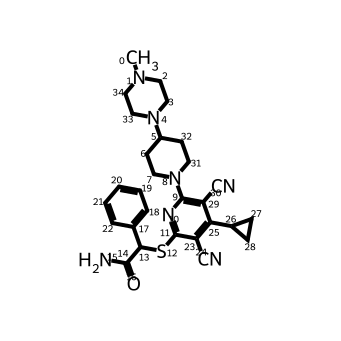 CN1CCN(C2CCN(c3nc(SC(C(N)=O)c4ccccc4)c(C#N)c(C4CC4)c3C#N)CC2)CC1